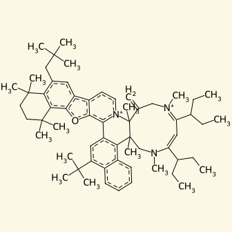 C=C1C/[N+](C)=C(C(CC)CC)\C=C(\C(CC)CC)N(C)CC2(C)c3c(cc(C(C)(C)C)c4ccccc34)-c3c4oc5c6c(c(CC(C)(C)C)cc5c4cc[n+]3C12C)C(C)(C)CCC6(C)C